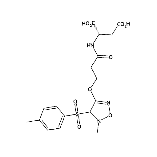 Cc1ccc(S(=O)(=O)C2C(OCCC(=O)N[C@@H](CC(=O)O)C(=O)O)=NON2C)cc1